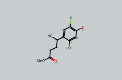 COC(=O)CCC(C#N)c1cc(F)c(Br)cc1Cl